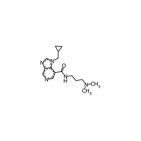 CN(C)CCCNC(=O)c1cncc2ncn(CC3CC3)c12